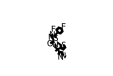 Cn1cc(C2(C)CN(C(=O)c3nnc(-c4ccc(F)cc4F)s3)Cc3sccc32)cn1